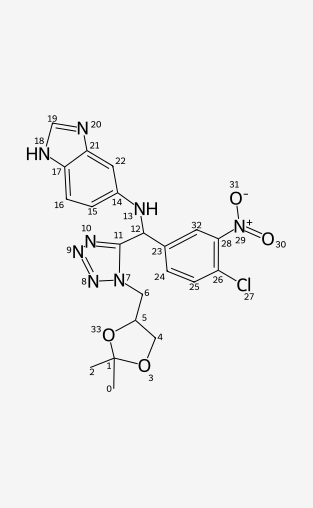 CC1(C)OCC(Cn2nnnc2C(Nc2ccc3[nH]cnc3c2)c2ccc(Cl)c([N+](=O)[O-])c2)O1